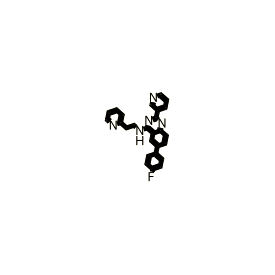 Fc1ccc(-c2ccc3nc(-c4cccnc4)nc(NCCc4ccccn4)c3c2)cc1